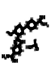 CC(=O)O.COc1ccc(-c2ccc(C(=N)N)cc2)cc1-c1nc2cc(C(=N)N)ccc2[nH]1